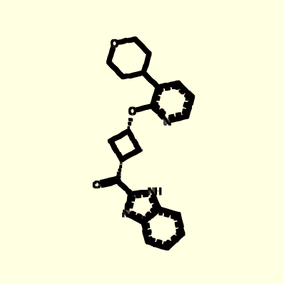 O=C(c1nc2ccccc2[nH]1)[C@H]1C[C@@H](Oc2ncccc2C2CCOCC2)C1